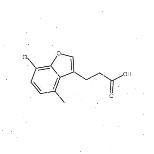 Cc1ccc(Cl)c2occ(CCC(=O)O)c12